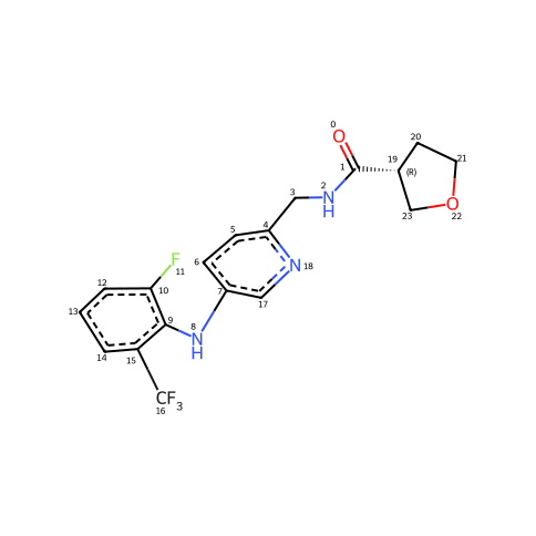 O=C(NCc1ccc(Nc2c(F)cccc2C(F)(F)F)cn1)[C@@H]1CCOC1